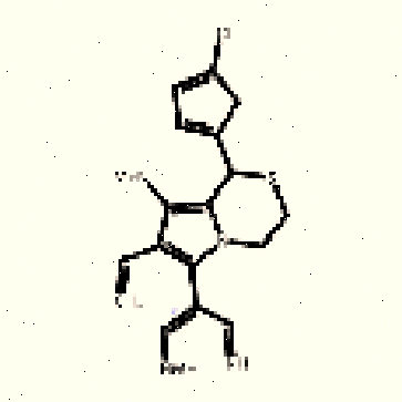 C=Cc1c(NC)c2n(c1/C(C=N)=C/NC)CCSC2C1=CC=C(Cl)C1